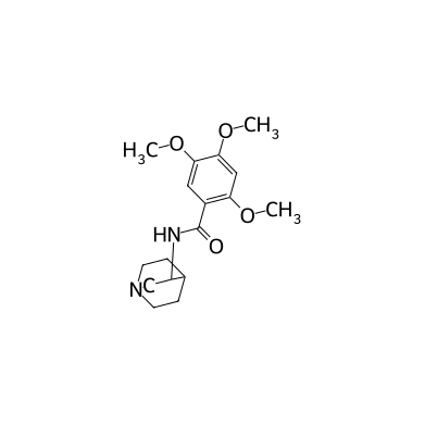 COc1cc(OC)c(C(=O)NC2CN3CCC2CC3)cc1OC